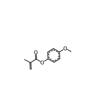 C=C(C)C(=O)Oc1ccc(OC)cc1